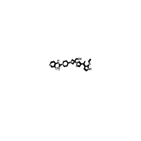 C=C/N=C1/NC=C/C1=C(/C)c1cnn(C2(CC#N)CN(C3CCN(C(=O)Nc4ccncc4C(F)(F)F)CC3)C2)c1